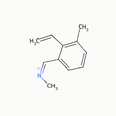 C=Cc1c(C)cccc1/C=N\C